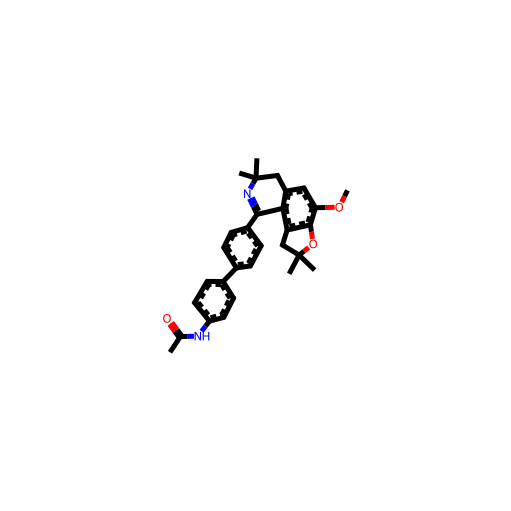 COc1cc2c(c3c1OC(C)(C)C3)C(c1ccc(-c3ccc(NC(C)=O)cc3)cc1)=NC(C)(C)C2